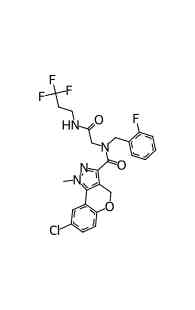 Cn1nc(C(=O)N(CC(=O)NCCC(F)(F)F)Cc2ccccc2F)c2c1-c1cc(Cl)ccc1OC2